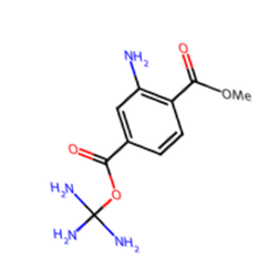 COC(=O)c1ccc(C(=O)OC(N)(N)N)cc1N